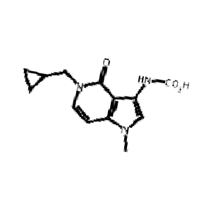 Cn1cc(NC(=O)O)c2c(=O)n(CC3CC3)ccc21